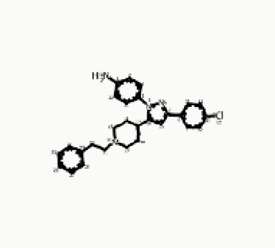 Nc1ccc(-n2nc(-c3ccc(Cl)cc3)cc2C2CCN(CCc3ccccc3)CC2)cc1